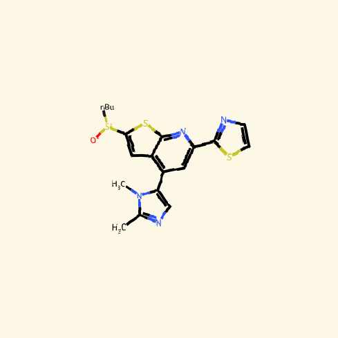 CCCC[S+]([O-])c1cc2c(-c3cnc(C)n3C)cc(-c3nccs3)nc2s1